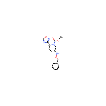 CC(C)(C)OC(=O)N1C[C@H](NOCc2ccccc2)CC[C@H]1c1ncon1